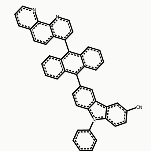 N#Cc1ccc2c(c1)c1cc(-c3c4ccccc4c(-c4ccnc5c4ccc4cccnc45)c4ccccc34)ccc1n2-c1ccccc1